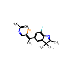 C=C(C)/N=C\C(P)=C(/C)c1cc(F)c2c(c1)C(C)(C)C(C)=N2